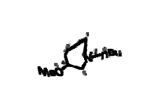 [CH2]CCCN1CCC(OC)C1